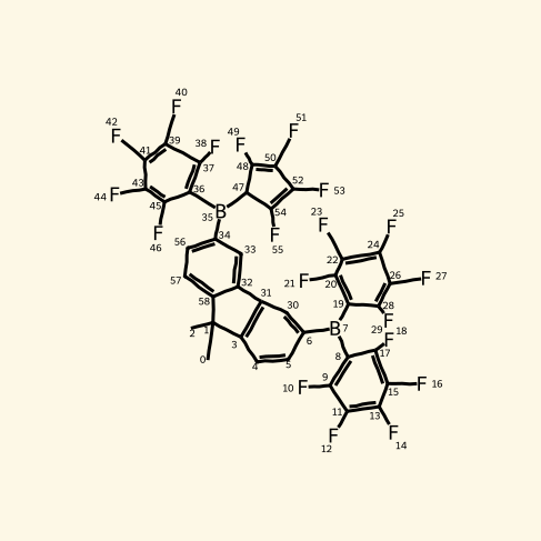 CC1(C)c2ccc(B(c3c(F)c(F)c(F)c(F)c3F)c3c(F)c(F)c(F)c(F)c3F)cc2-c2cc(B(c3c(F)c(F)c(F)c(F)c3F)C3C(F)=C(F)C(F)=C3F)ccc21